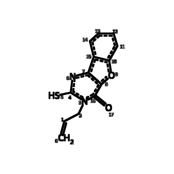 C=CCn1c(S)nc2c(oc3ccccc32)c1=O